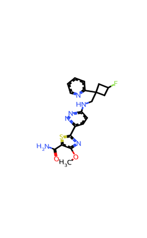 COc1nc(-c2ccc(NCC3(c4ccccn4)CC(F)C3)nn2)sc1C(N)=O